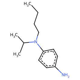 CCCCN(c1ccc(N)cc1)C(C)C